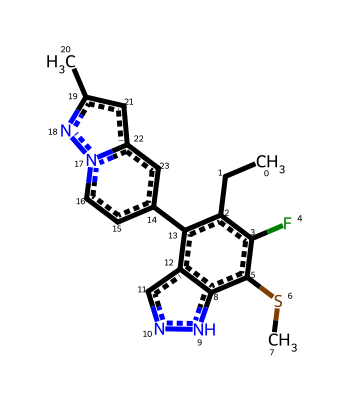 CCc1c(F)c(SC)c2[nH]ncc2c1-c1ccn2nc(C)cc2c1